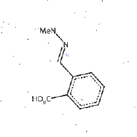 CN/N=C/c1ccccc1C(=O)O